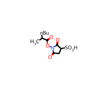 CCCCC(C)C(=O)ON1C(=O)CC(S(=O)(=O)O)C1=O